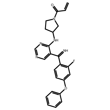 C=CC(=O)N1CCC(Nc2ncncc2C(=N)c2ccc(Oc3ccccc3)cc2F)C1